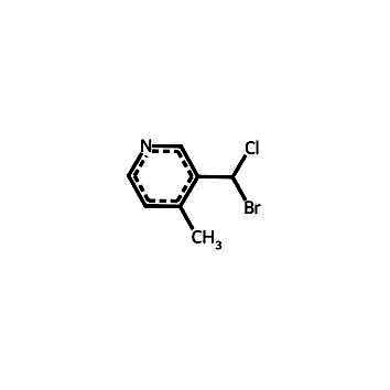 Cc1ccncc1C(Cl)Br